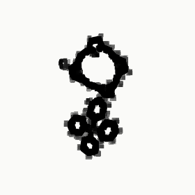 C1=Cc2cc3ccc(cc4nc(cc5ccc(cc1n2)[nH]5)C=C4)[nH]3.[Cl-].c1cc[c]([Mn+]([c]2ccccc2)([c]2ccccc2)[c]2ccccc2)cc1